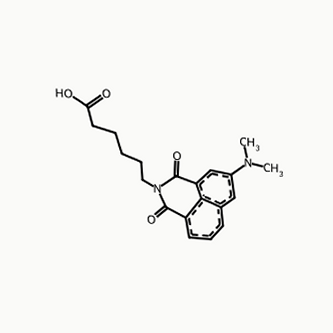 CN(C)c1cc2c3c(cccc3c1)C(=O)N(CCCCCC(=O)O)C2=O